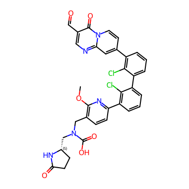 COc1nc(-c2cccc(-c3cccc(-c4ccn5c(=O)c(C=O)cnc5c4)c3Cl)c2Cl)ccc1CN(C[C@@H]1CCC(=O)N1)C(=O)O